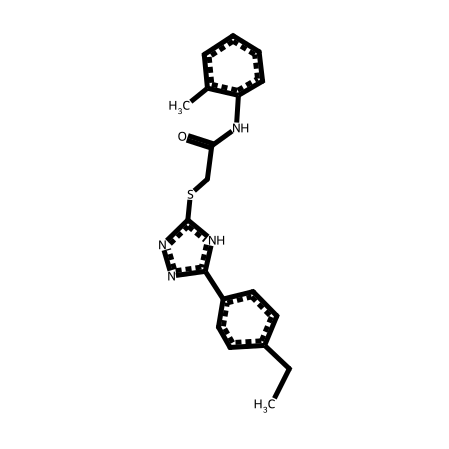 CCc1ccc(-c2nnc(SCC(=O)Nc3ccccc3C)[nH]2)cc1